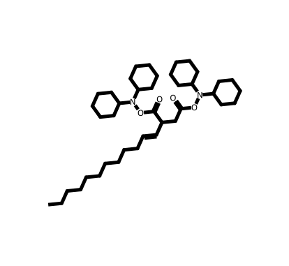 CCCCCCCCCCC=CC(CC(=O)ON(C1CCCCC1)C1CCCCC1)C(=O)ON(C1CCCCC1)C1CCCCC1